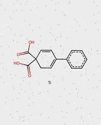 O=C(O)C1(C(=O)O)C=CC(c2ccccc2)=CC1.[Ti]